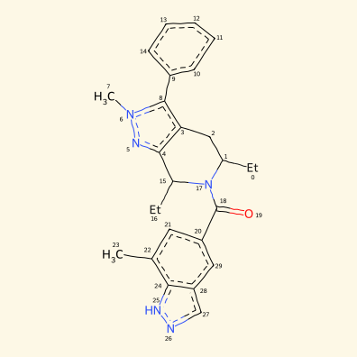 CCC1Cc2c(nn(C)c2-c2ccccc2)C(CC)N1C(=O)c1cc(C)c2[nH]ncc2c1